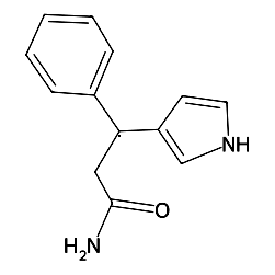 NC(=O)C[C](c1ccccc1)c1cc[nH]c1